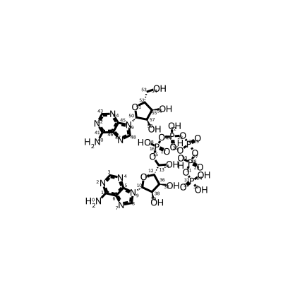 Nc1ncnc2c1ncn2[C@@H]1O[C@H](C(O)OP(=O)(O)OP(=O)(O)OP(=O)(O)OP(=O)(O)OP(=O)(O)O)[C@@H](O)[C@H]1O.Nc1ncnc2c1ncn2[C@@H]1O[C@H](CO)[C@@H](O)[C@H]1O